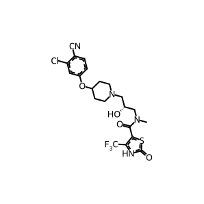 CN(C[C@H](O)CN1CCC(Oc2ccc(C#N)c(Cl)c2)CC1)C(=O)c1sc(=O)[nH]c1C(F)(F)F